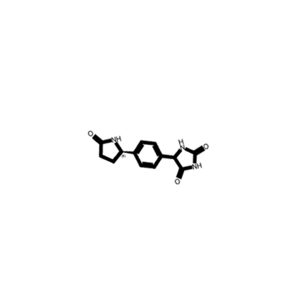 O=C1CC[C@H](c2ccc(C3NC(=O)NC3=O)cc2)N1